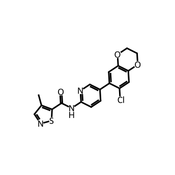 Cc1cnsc1C(=O)Nc1ccc(-c2cc3c(cc2Cl)OCCO3)cn1